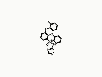 Cc1ccccc1Oc1cccc(S(=O)(=O)Nc2ncns2)c1Oc1ccccc1